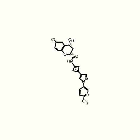 O=C(NC12CC(c3cnn(-c4ccc(C(F)(F)F)nc4)c3)(C1)C2)[C@H]1C[C@@H](O)c2cc(Cl)ccc2O1